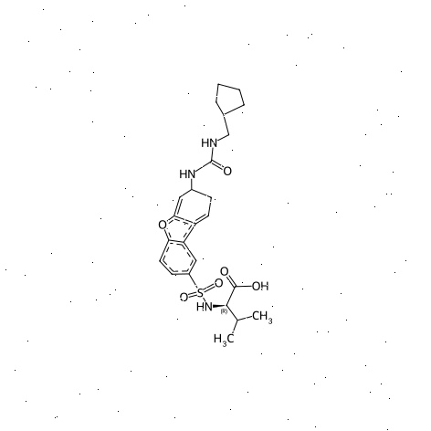 CC(C)[C@@H](NS(=O)(=O)c1ccc2oc3c(c2c1)=CCC(NC(=O)NCC1CCCC1)C=3)C(=O)O